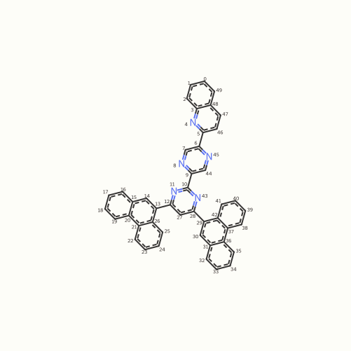 c1ccc2nc(-c3cnc(-c4nc(-c5cc6ccccc6c6ccccc56)cc(-c5cc6ccccc6c6ccccc56)n4)cn3)ccc2c1